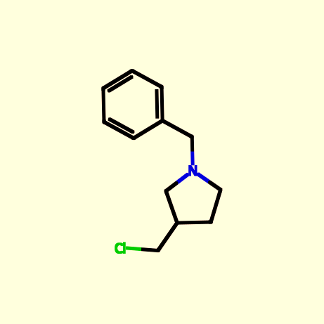 ClCC1CCN(Cc2ccccc2)C1